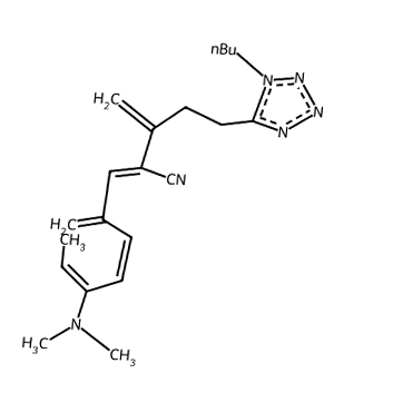 C=C(/C=C\C(=C/C)N(C)C)/C=C(\C#N)C(=C)CCc1nnnn1CCCC